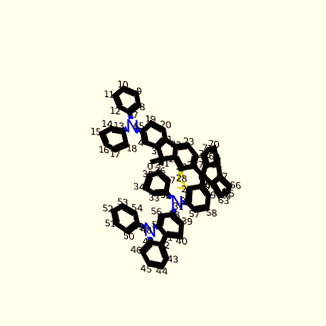 CC1(C)c2cc(N(c3ccccc3)c3ccccc3)ccc2-c2ccc3c(c21)Sc1c(N(c2ccccc2)c2ccc4c5ccccc5n(-c5ccccc5)c4c2)cccc1C31c2ccccc2-c2ccccc21